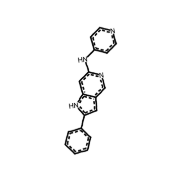 c1ccc(-c2cc3cnc(Nc4ccncc4)cc3[nH]2)cc1